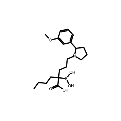 CCCCC(CCCN1CCCC1c1cccc(OC)c1)(B(O)O)C(=O)O